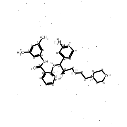 Cc1cc(C)cc(NC(=O)c2cccnc2SC(C(=O)CNCCN2CCOCC2)c2ccnc(N)c2)c1